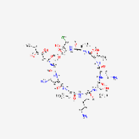 C/C=C1\NC(=O)[C@H]([C@H](C)O)NC(=O)[C@H](CCN)NC(=O)[C@H]([C@H](O)C(=O)O)NC(=O)[C@H](CCCCN)NC(=O)[C@H](CC(=O)O)NC(=O)[C@@H](CCN)NC(=O)[C@@H](NC(=O)CC(O)C(O)CCCCCCCCCCC)COC(=O)[C@H]([C@H](O)CCl)NC1=O